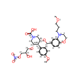 COCCCN1CCOc2ccc(CO[C@H]3CN(C(=O)O)C[C@@H](OCC(O)CO[N+](=O)[O-])[C@@H]3c3ccc(OC)cc3)cc21